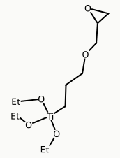 CC[O][Ti]([CH2]CCOCC1CO1)([O]CC)[O]CC